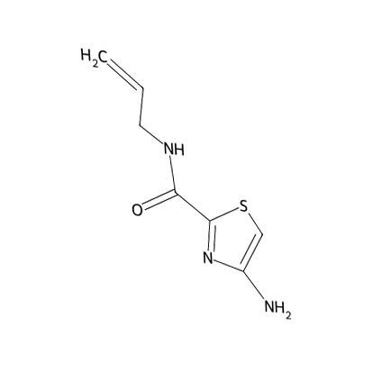 C=CCNC(=O)c1nc(N)cs1